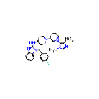 Cn1cnc([N+](=O)[O-])c1N1CCCC(N2CCC(Nc3nc4ccccc4n3Cc3ccc(F)cc3)CC2)C1